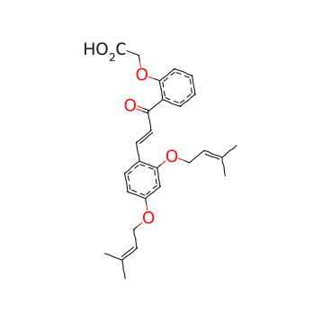 CC(C)=CCOc1ccc(C=CC(=O)c2ccccc2OCC(=O)O)c(OCC=C(C)C)c1